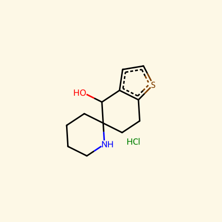 Cl.OC1c2ccsc2CCC12CCCCN2